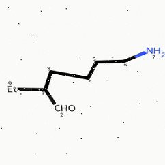 CCC(C=O)CCCCN